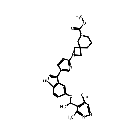 COC(=O)N1CCCC2(C1)CN(c1ccc(-c3n[nH]c4ccc(OC(C)c5c(C)cnnc5C)cc34)cn1)C2